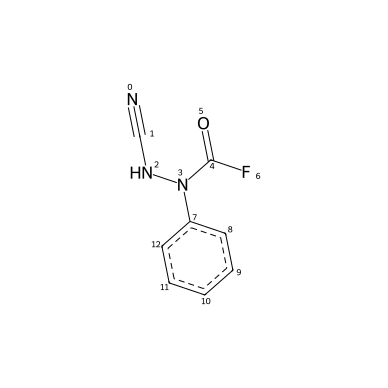 N#CNN(C(=O)F)c1ccccc1